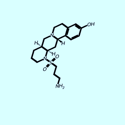 NCCCS(=O)(=O)N1CCC[C@H]2CN3CCc4cc(O)ccc4[C@@H]3C[C@H]21